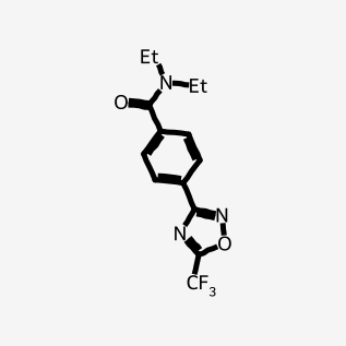 CCN(CC)C(=O)c1ccc(-c2noc(C(F)(F)F)n2)cc1